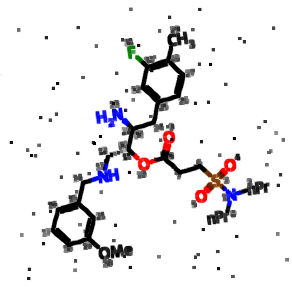 CCCN(CCC)S(=O)(=O)CCC(=O)O[C@H](CNCc1cccc(OC)c1)[C@@H](N)Cc1ccc(C)c(F)c1